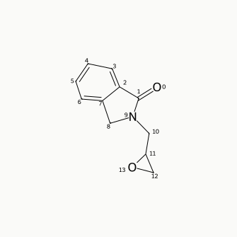 O=C1c2ccccc2CN1CC1CO1